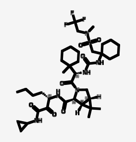 CCCC[C@H](NC(=O)[C@@H]1[C@@H]2[C@H](CN1C(=O)[C@@H](NC(=O)NC1(CS(=O)(=O)N(C)CC(F)(F)F)CCCCC1)C1(C)CCCCC1)C2(C)C)C(=O)C(=O)NC1CC1